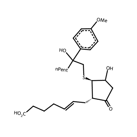 CCCCCC(O)(CS[C@H]1C(O)CC(=O)[C@@H]1CC=CCCCC(=O)O)c1ccc(OC)cc1